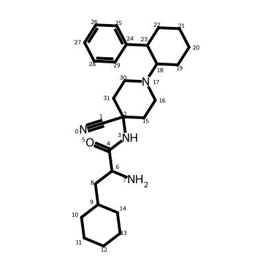 N#CC1(NC(=O)C(N)CC2CCCCC2)CCN(C2CCCCC2c2ccccc2)CC1